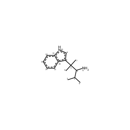 CC(C)C(N)C(C)(C)c1c[nH]c2ccccc12